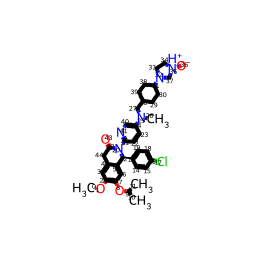 COc1cc2c(cc1OC(C)C)[C@H](c1ccc(Cl)cc1)N(c1ccc(N(C)CC3CCC(N4CC[NH+]([O-])C4)CC3)cn1)C(=O)C2